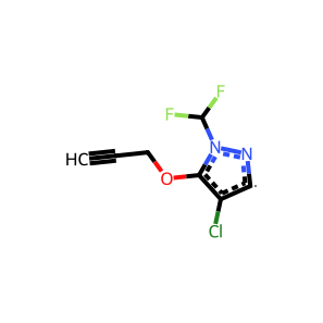 C#CCOc1c(Cl)[c]nn1C(F)F